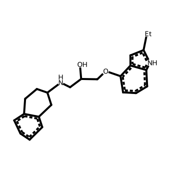 CCc1cc2c(OCC(O)CNC3CCc4ccccc4C3)cccc2[nH]1